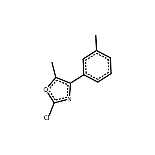 Cc1cccc(-c2nc(Cl)oc2C)c1